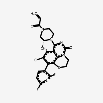 C=CC(=O)N1CCN(c2nc(=O)n3c4c(c(-c5ccc(F)cc5F)c(Cl)cc24)SCC3)[C@H](C)C1